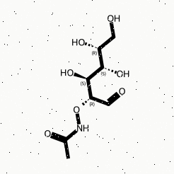 CC(=O)NO[C@@H](C=O)[C@@H](O)[C@@H](O)[C@H](O)CO